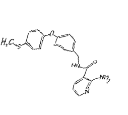 CSc1ccc(Oc2ccc(CNC(=O)c3cccnc3N)cc2)cc1